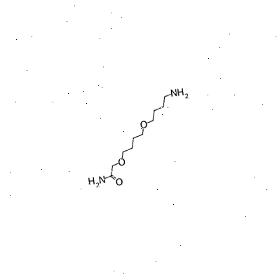 NCCCCOCCCCOCC(N)=O